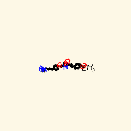 COc1ccc(C=Cc2nc(COc3ccc(CCCCn4ccnn4)cc3)co2)cc1